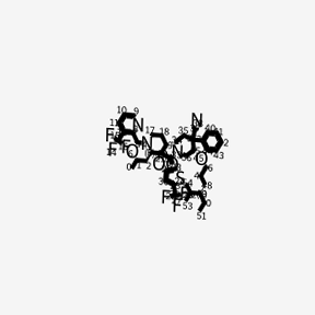 CCC[C@H]1N(C(=O)c2ncccc2C(F)(F)F)CCC[C@@]1(Oc1csc(C(F)(F)F)c1)C(=O)N1CCC(C#N)(c2ccccc2OCCC[C@H](CC)C(C)C)CC1